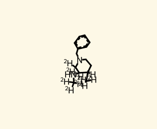 [2H]C([2H])([2H])NC1([2H])C([2H])([2H])N(Cc2ccccc2)CCC1([2H])C([2H])([2H])[2H]